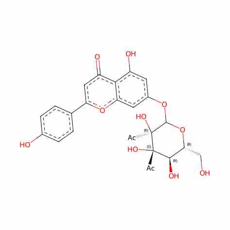 CC(=O)[C@]1(O)C(Oc2cc(O)c3c(=O)cc(-c4ccc(O)cc4)oc3c2)O[C@H](CO)[C@@H](O)[C@@]1(O)C(C)=O